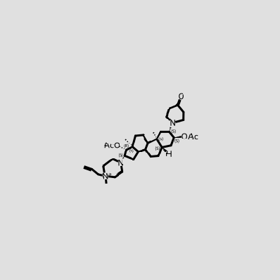 C=CC[N+]1(C)CCN([C@H]2CC3C4CC[C@H]5C[C@H](OC(C)=O)[C@@H](N6CCC(=O)CC6)C[C@]5(C)C4CC[C@]3(C)[C@H]2OC(C)=O)CC1